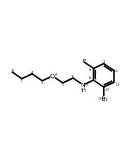 CCCCOCCNc1c(C)cccc1Br